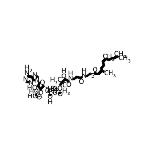 CC(C)=CCCC(C)=CCCC(C)=CC(=O)SCCNC(=O)CCNC(=O)[C@H](O)C(C)(C)COP(=O)(O)OP(=O)(O)OC[C@H]1O[C@@H](n2cnc3c(N)ncnc32)[C@H](O)[C@@H]1OP(=O)(O)O